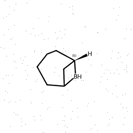 B1C2CCCC[C@H]1C2